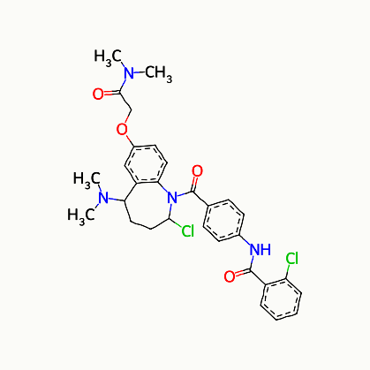 CN(C)C(=O)COc1ccc2c(c1)C(N(C)C)CCC(Cl)N2C(=O)c1ccc(NC(=O)c2ccccc2Cl)cc1